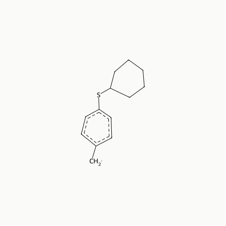 [CH2]c1ccc(SC2CCCCC2)cc1